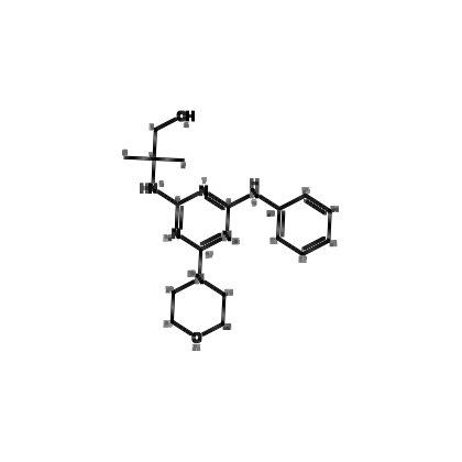 CC(C)(CO)Nc1nc(Nc2ccccc2)nc(N2CCOCC2)n1